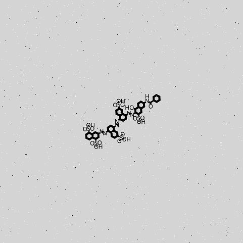 O=C(Nc1ccc2c(O)c(N=Nc3ccc(N=Nc4ccc(N=Nc5cc(S(=O)(=O)O)c6cccc(S(=O)(=O)O)c6c5)c5ccc(S(=O)(=O)O)cc45)c4ccc(S(=O)(=O)O)cc34)c(S(=O)(=O)O)cc2c1)c1ccccc1